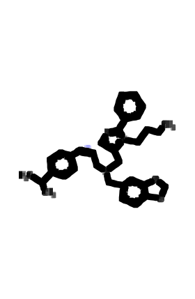 CCCCn1c(CN(C/C=C\c2ccc(C(C)C)cc2)Cc2ccc3c(c2)OCO3)cnc1-c1ccccc1